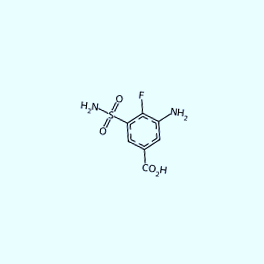 Nc1cc(C(=O)O)cc(S(N)(=O)=O)c1F